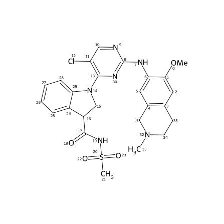 COc1cc2c(cc1Nc1ncc(Cl)c(N3CC(C(=O)NS(C)(=O)=O)c4ccccc43)n1)CN(C)CC2